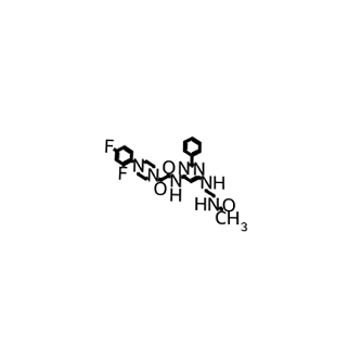 CC(=O)NCCNc1cc(NC(=O)C(=O)N2CCN(c3ccc(F)cc3F)CC2)nc(-c2ccccc2)n1